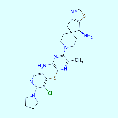 Cc1nc(Sc2ccnc(N3CCCC3)c2Cl)c(N)nc1N1CCC2(CC1)Cc1ncsc1[C@H]2N